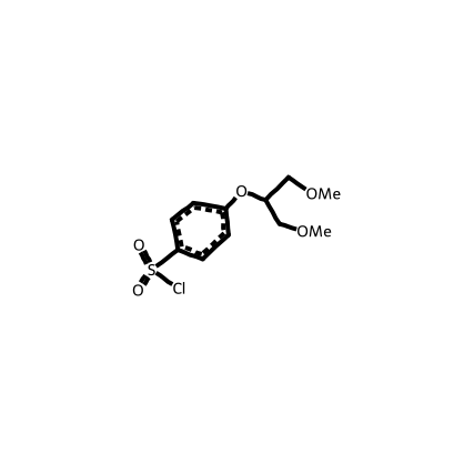 COCC(COC)Oc1ccc(S(=O)(=O)Cl)cc1